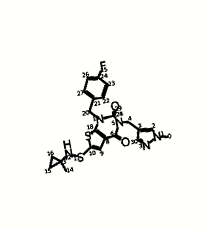 Cn1cc(Cn2c(=O)c3cc(SNC4(C)CC4)sc3n(Cc3ccc(F)cc3)c2=O)cn1